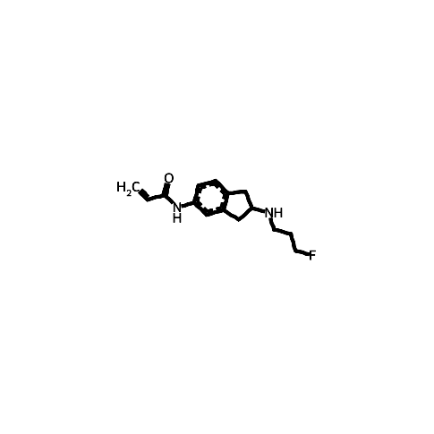 C=CC(=O)Nc1ccc2c(c1)CC(NCCCF)C2